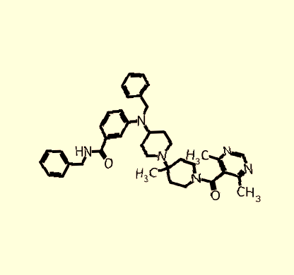 Cc1ncnc(C)c1C(=O)N1CCC(C)(N2CCC(N(Cc3ccccc3)c3cccc(C(=O)NCc4ccccc4)c3)CC2)CC1